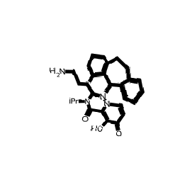 CC1CC=CC2=C1C(N1C(CCCN)N(C(C)C)C(=O)c3c(O)c(=O)ccn31)c1ccccc1CC2